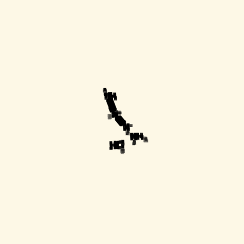 Cl.N.[N-]=[N+]=N